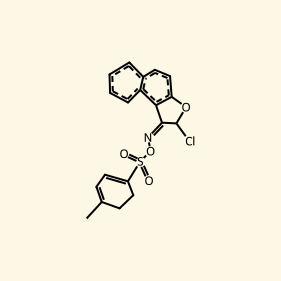 CC1=CC=C(S(=O)(=O)O/N=C2/c3c(ccc4ccccc34)OC2Cl)CC1